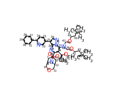 C=C(OCC)c1c(C2CC3COCC(C2)N3C(=O)OC(C)(C)C)nc2c(-c3ccc(-c4ccccc4)nc3)cnn2c1N(COCC[Si](C)(C)C)COCC[Si](C)(C)C